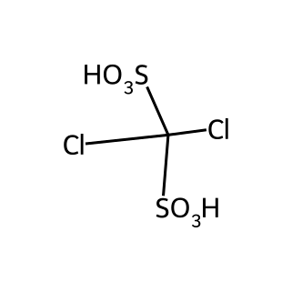 O=S(=O)(O)C(Cl)(Cl)S(=O)(=O)O